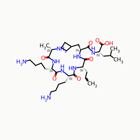 C=CC[C@H](NC(=O)[C@H](CCCCN)NC(=O)[C@H](CCCCN)NC(=O)[C@H](C)N)C(=O)N[C@@H](CC1CCC1)C(=O)N[C@@H](CC(C)C)C(=O)O